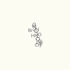 O=C(Nc1ccc(C(F)(F)C(F)(F)Cl)cc1)c1cnc(N2CCOC2)c(Br)c1